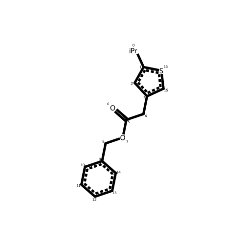 CC(C)c1cc(CC(=O)OCc2ccccc2)cs1